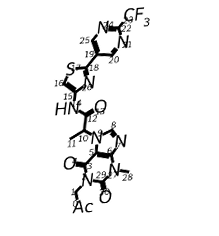 CC(=O)Cn1c(=O)c2c(ncn2C(C)C(=O)Nc2csc(-c3cnc(C(F)(F)F)nc3)n2)n(C)c1=O